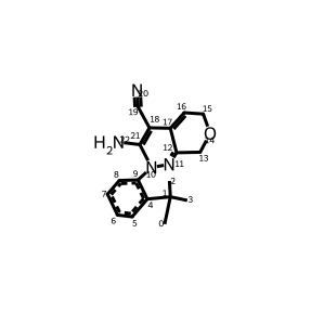 CC(C)(C)c1ccccc1N1N=C2COCC=C2C(C#N)=C1N